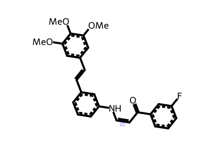 COc1cc(C=Cc2cccc(N/C=C\C(=O)c3cccc(F)c3)c2)cc(OC)c1OC